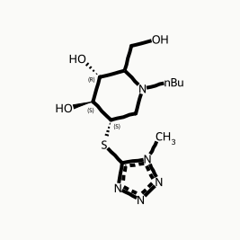 CCCCN1C[C@H](Sc2nnnn2C)[C@@H](O)[C@H](O)C1CO